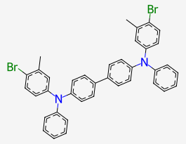 Cc1cc(N(c2ccccc2)c2ccc(-c3ccc(N(c4ccccc4)c4ccc(Br)c(C)c4)cc3)cc2)ccc1Br